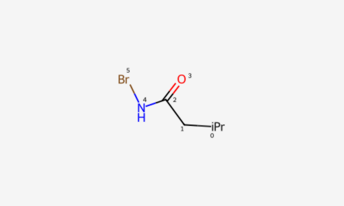 CC(C)CC(=O)NBr